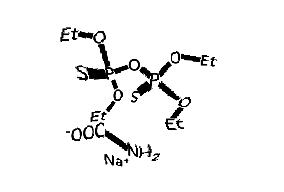 CCOP(=S)(OCC)OP(=S)(OCC)OCC.NC(=O)[O-].[Na+]